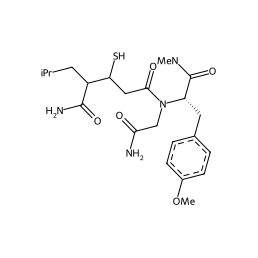 CNC(=O)[C@H](Cc1ccc(OC)cc1)N(CC(N)=O)C(=O)CC(S)C(CC(C)C)C(N)=O